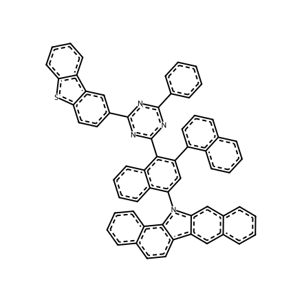 c1ccc(-c2nc(-c3ccc4sc5ccccc5c4c3)nc(-c3c(-c4cccc5ccccc45)cc(-n4c5cc6ccccc6cc5c5ccc6ccccc6c54)c4ccccc34)n2)cc1